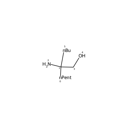 CCCCCC(N)(CO)CCCC